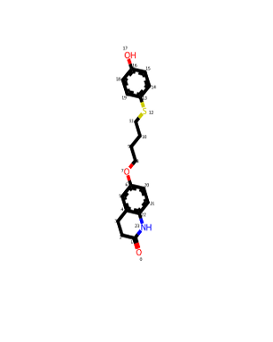 O=C1CCc2cc(OCCCCSc3ccc(O)cc3)ccc2N1